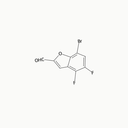 O=Cc1cc2c(F)c(F)cc(Br)c2o1